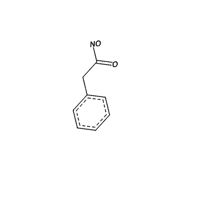 O=NC(=O)Cc1ccccc1